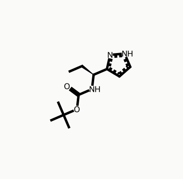 CC[C@H](NC(=O)OC(C)(C)C)c1cc[nH]n1